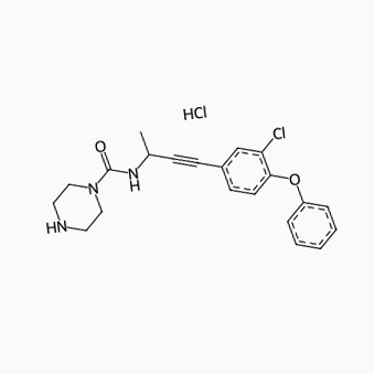 CC(C#Cc1ccc(Oc2ccccc2)c(Cl)c1)NC(=O)N1CCNCC1.Cl